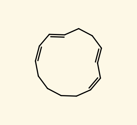 C1=C\CCCC/C=C\C=C\CC/C=C/1